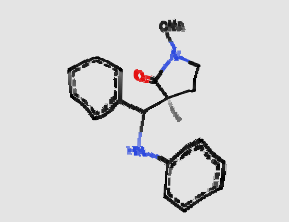 CON1CC[C@@](C)(C(Nc2ccccc2)c2ccccc2)C1=O